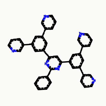 c1ccc(-c2nc(-c3cc(-c4cccnc4)cc(-c4cccnc4)c3)cc(-c3cc(-c4cccnc4)cc(-c4cccnc4)c3)n2)cc1